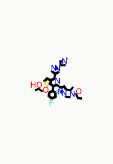 C=CC(=O)N1CCn2nc(-c3nc(-c4cnn(C5CN(C)C5)c4)c4ccsc4c3-c3c(F)cc(F)cc3OCC(C)O)cc2C1C